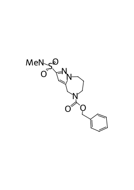 CNS(=O)(=O)c1cc2n(n1)CCCN(C(=O)OCc1ccccc1)C2